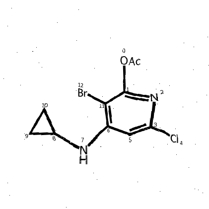 CC(=O)Oc1nc(Cl)cc(NC2CC2)c1Br